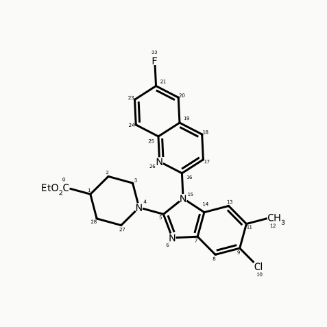 CCOC(=O)C1CCN(c2nc3cc(Cl)c(C)cc3n2-c2ccc3cc(F)ccc3n2)CC1